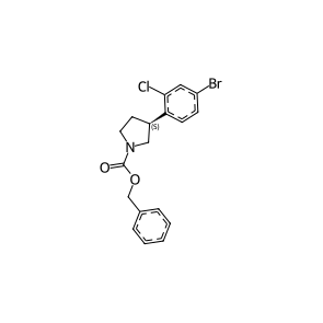 O=C(OCc1ccccc1)N1CC[C@@H](c2ccc(Br)cc2Cl)C1